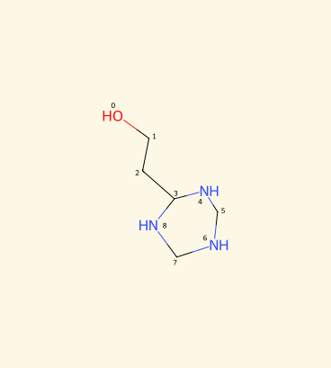 OCCC1NCNCN1